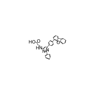 O=C(O)CCNc1cc(-c2ccc(-c3cccc4c3oc3ccccc34)cc2)nc(-c2ccccc2)n1